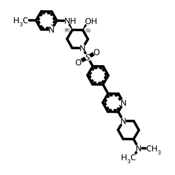 Cc1ccc(N[C@@H]2CCN(S(=O)(=O)c3ccc(-c4ccc(N5CCC(N(C)C)CC5)nc4)cc3)C[C@@H]2O)nc1